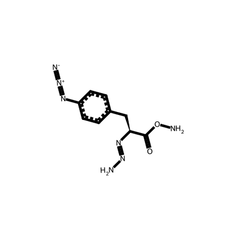 [N-]=[N+]=Nc1ccc(C[C@H](N=NN)C(=O)ON)cc1